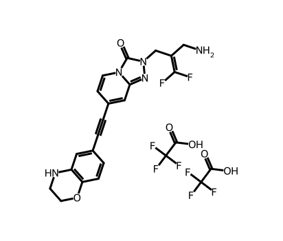 NCC(Cn1nc2cc(C#Cc3ccc4c(c3)NCCO4)ccn2c1=O)=C(F)F.O=C(O)C(F)(F)F.O=C(O)C(F)(F)F